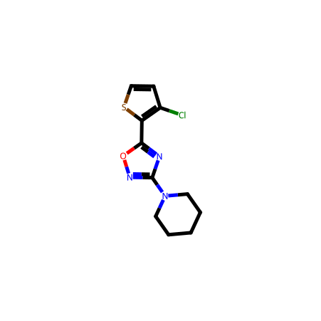 Clc1ccsc1-c1nc(N2CCCCC2)no1